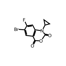 O=c1oc(=O)n(C2CC2)c2cc(F)c(Br)cc12